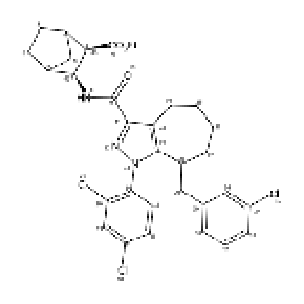 CCOC(=O)[C@@H]1C2CCC(C2)[C@@H]1NC(=O)c1nn(-c2ccc(Cl)cc2Cl)c2c1CCCCC2Cc1cccc(Cl)c1